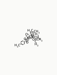 Cc1ccc(S(=O)(=O)O[C@H]2COC[C@]2(NC(=O)OC(C)(C)C)C(=O)OC(C)(C)C)cc1